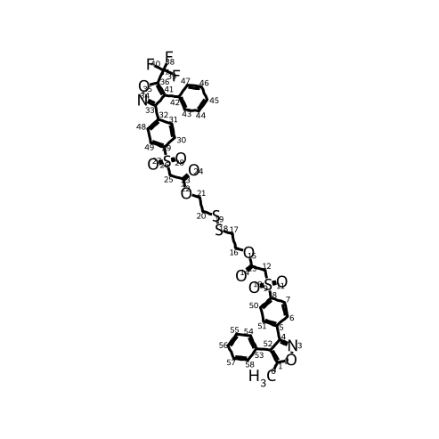 Cc1onc(-c2ccc(S(=O)(=O)CC(=O)OCCSSCCOC(=O)CS(=O)(=O)c3ccc(-c4noc(C(F)(F)F)c4-c4ccccc4)cc3)cc2)c1-c1ccccc1